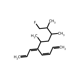 C=C/C=C\C(=C/C=C)C(C)CC(C)C(C)CF